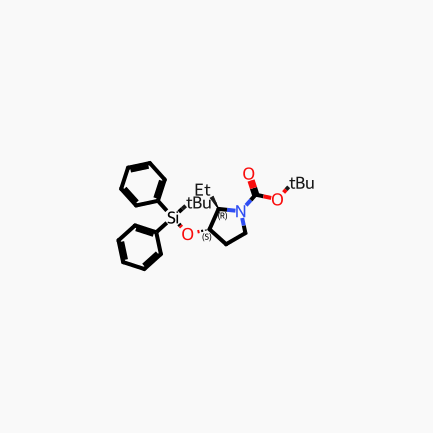 CC[C@@H]1[C@@H](O[Si](c2ccccc2)(c2ccccc2)C(C)(C)C)CCN1C(=O)OC(C)(C)C